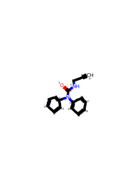 C#CCNC(=O)N(c1ccccc1)c1ccccc1